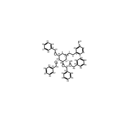 Fc1cccc(CCN2C[C@H](OCc3ccccc3)[C@@H](OCc3ccccc3)[C@H](OCc3ccccc3)[C@H]2COCc2ccccc2)c1